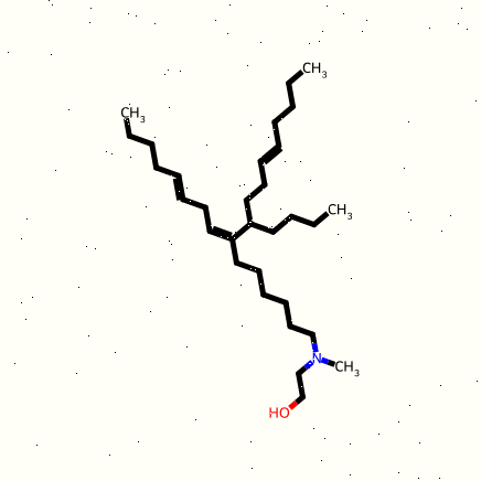 CCCC/C=C/C/C=C(/CCCCCCN(C)CCO)C(CC/C=C/CCCC)CCCC